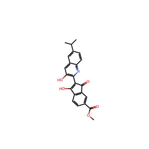 COC(=O)c1ccc2c(c1)C(=O)C(c1nc3ccc(C(C)C)cc3cc1O)=C2O